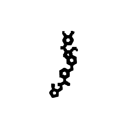 CCN1CCCC1CNC(=O)c1cc(Oc2ccc3c(c2)nc(Nc2ccc(Br)c(F)c2)n3C)ccn1